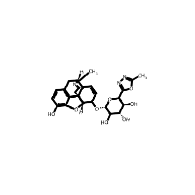 Cc1nnc(C2O[C@@H](OC3C=CC4[C@H]5Cc6ccc(O)c7c6[C@@]4(CCN5C)[C@H]3O7)C(O)[C@@H](O)[C@@H]2O)o1